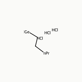 CCCC[CH2][Ge].Cl.Cl.Cl